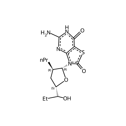 CCC[C@@H]1C[C@@H](C(O)CC)O[C@H]1n1c(=O)sc2c(=O)[nH]c(N)nc21